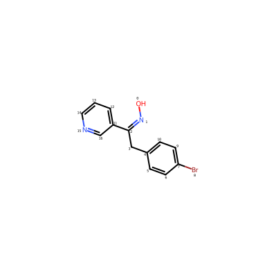 ON=C(Cc1ccc(Br)cc1)c1cccnc1